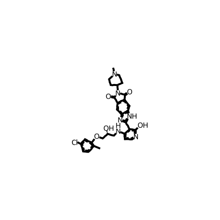 Cc1ccc(Cl)cc1OC[C@H](O)CNc1ccnc(O)c1-c1nc2cc3c(cc2[nH]1)C(=O)N(C1CCN(C)CC1)C3=O